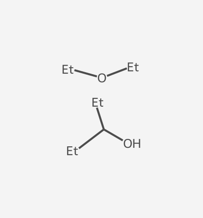 CCC(O)CC.CCOCC